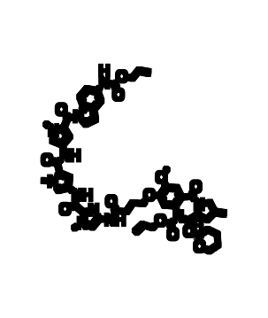 C=CCOC(=O)Nc1ccc2c(ccn2C(=O)c2cc(NC(=O)c3cc(NC(=O)c4nc(NC(=O)CCCOc5cc6c(cc5OC)C(=O)N5CC(=C)C[C@H]5[C@H](O[C@H]5CCCCO5)N6C(=O)OCC=C)cn4C)cn3C)cn2C)c1